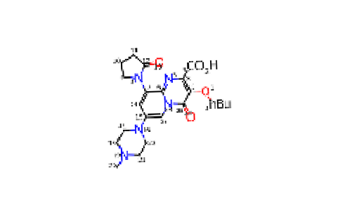 CCCCOc1c(C(=O)O)nc2c(N3CCCC3=O)cc(N3CCN(C)CC3)cn2c1=O